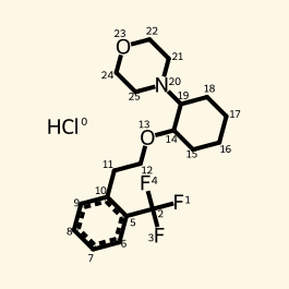 Cl.FC(F)(F)c1ccccc1CCOC1CCCCC1N1CCOCC1